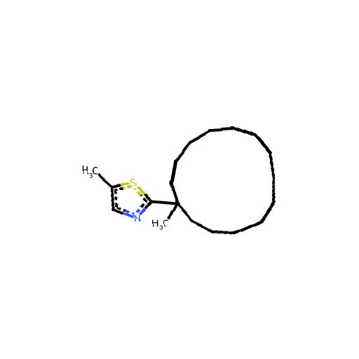 Cc1cnc(C2(C)CCCCCCCCCCCCC2)s1